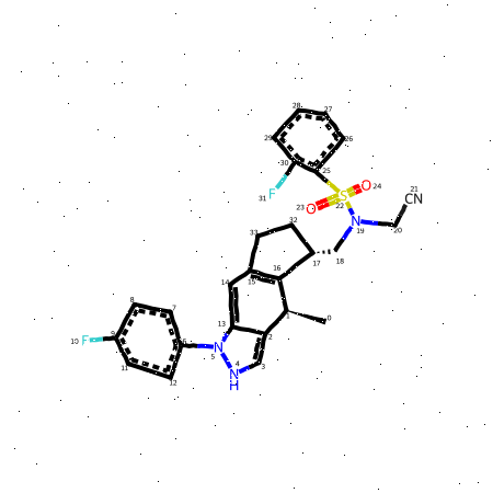 C[C@H]1C2=CNN(c3ccc(F)cc3)C2=CC2=C1[C@@H](CN(CC#N)S(=O)(=O)c1ccccc1F)CC2